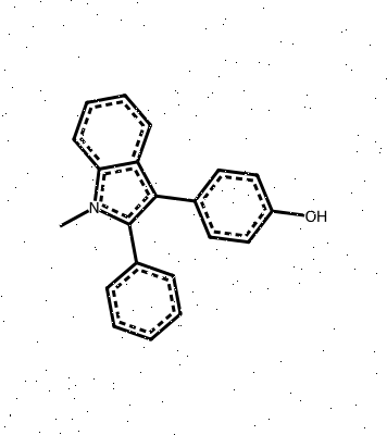 Cn1c(-c2ccccc2)c(-c2ccc(O)cc2)c2ccccc21